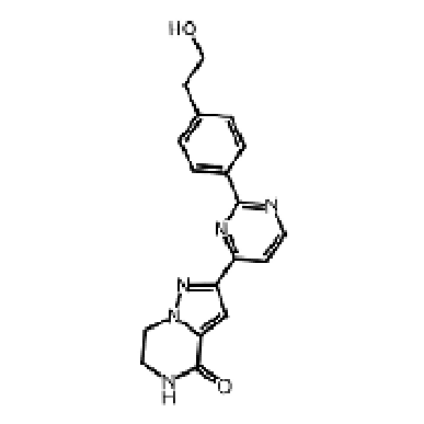 O=C1NCCn2nc(-c3ccnc(-c4ccc(CCO)cc4)n3)cc21